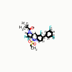 CCS(=O)(=O)N[C@@H]1[C@H](Cc2cccc(-c3cc(F)cc(F)c3)c2F)N(C(=O)C(C)C)CC1(F)F